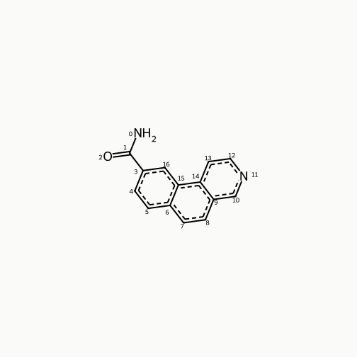 NC(=O)c1ccc2ccc3cnccc3c2c1